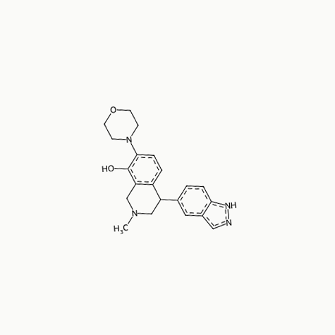 CN1Cc2c(ccc(N3CCOCC3)c2O)C(c2ccc3[nH]ncc3c2)C1